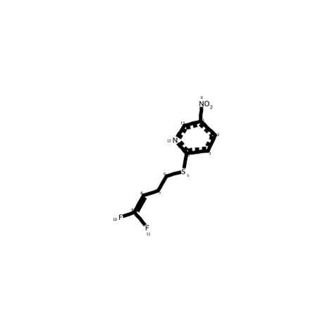 O=[N+]([O-])c1ccc(SCCC=C(F)F)nc1